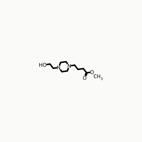 COC(=O)CCCN1CCN(CCO)CC1